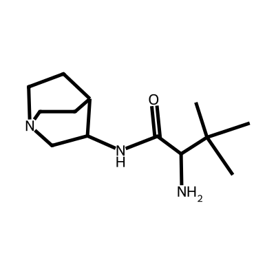 CC(C)(C)C(N)C(=O)NC1CN2CCC1CC2